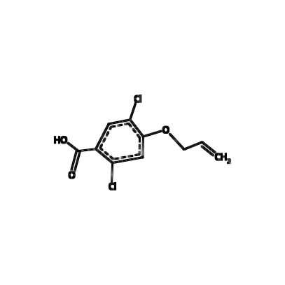 C=CCOc1cc(Cl)c(C(=O)O)cc1Cl